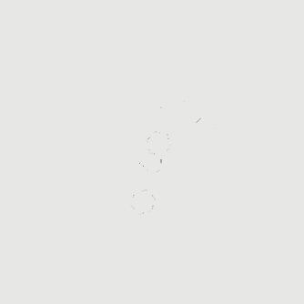 C=CC(=O)OC(C)(C)CC(C)(C)Oc1ccc2cc(-c3ccccc3)n(CCCC(C)C)c2c1